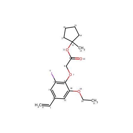 C=Cc1cc(I)c(OCC(=O)OC2(C)CCCC2)c(OCC)c1